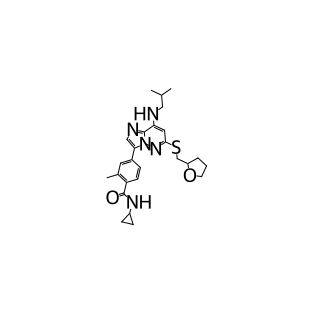 Cc1cc(-c2cnc3c(NCC(C)C)cc(SCC4CCCO4)nn23)ccc1C(=O)NC1CC1